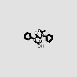 CC(=O)N(CC(=O)N(CC(=O)O)c1ccccc1)c1ccccc1